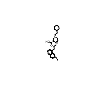 COc1ccc2nccc(CCC[C@@H]3CCN(CCC4CCCCC4)C[C@@H]3C(=O)O)c2c1